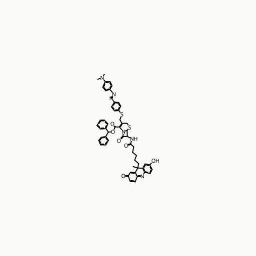 CN(C)c1ccc(N=Nc2ccc(SCC3=C(C(=O)OC(c4ccccc4)c4ccccc4)N4C(=O)C(NC(=O)CCCCCC5(C)C6=CC(=O)C=CC6=Nc6ccc(O)cc65)C4SC3)cc2)cc1